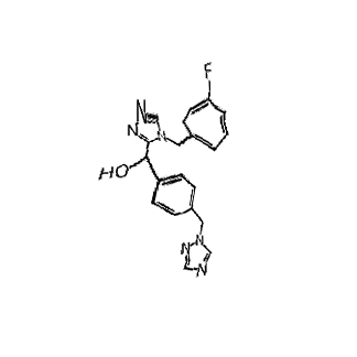 OC(c1ccc(Cn2cncn2)cc1)c1nncn1Cc1cccc(F)c1